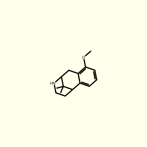 COc1cccc2c1CC1NCCC2C1(C)C